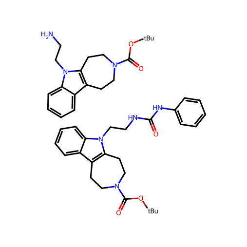 CC(C)(C)OC(=O)N1CCc2c(n(CCN)c3ccccc23)CC1.CC(C)(C)OC(=O)N1CCc2c(n(CCNC(=O)Nc3ccccc3)c3ccccc23)CC1